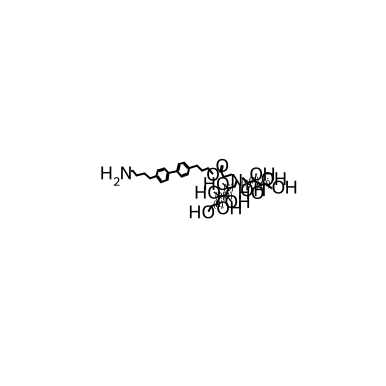 NCCCCc1ccc(-c2ccc(CCCOC(=O)CCN(C[C@H](O)[C@@H](O)[C@H](O)[C@H](O)CO)C[C@H](O)[C@@H](O)[C@H](O)[C@H](O)CO)cc2)cc1